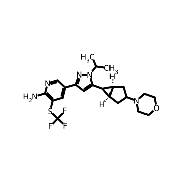 CC(C)n1nc(-c2cnc(N)c(SC(F)(F)F)c2)cc1C1[C@H]2CC(N3CCOCC3)C[C@@H]12